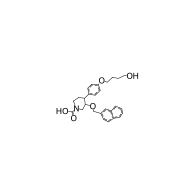 O=C(O)N1CCC(c2ccc(OCCCCO)cc2)C(OCc2ccc3ccccc3c2)C1